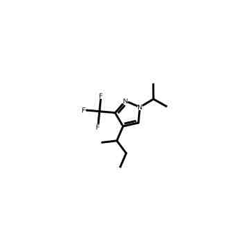 CCC(C)c1cn(C(C)C)nc1C(F)(F)F